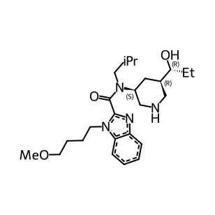 CC[C@@H](O)[C@H]1CNC[C@@H](N(CC(C)C)C(=O)c2nc3ccccc3n2CCCCOC)C1